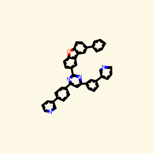 c1ccc(-c2ccc3oc4ccc(-c5nc(-c6ccc(-c7cccnc7)cc6)cc(-c6cccc(-c7cccnc7)c6)n5)cc4c3c2)cc1